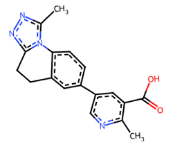 Cc1ncc(-c2ccc3c(c2)CCc2nnc(C)n2-3)cc1C(=O)O